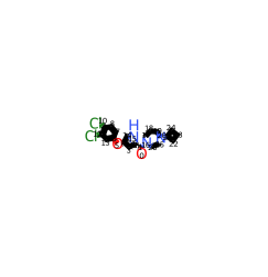 O=C([C@@H]1C[C@@H](Oc2ccc(Cl)c(Cl)c2)CN1)N1CCCN(C2CCC2)CC1